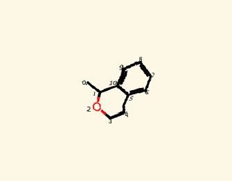 [CH2]C1OCCc2ccccc21